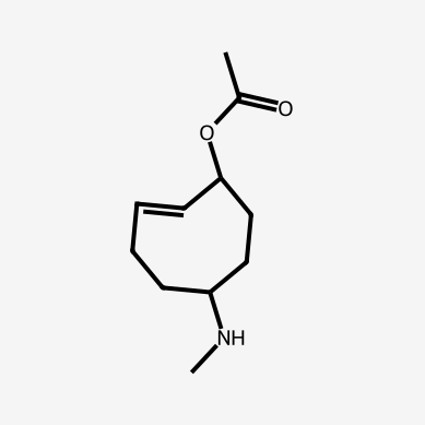 CNC1CC/C=C/C(OC(C)=O)CC1